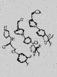 O=C(COc1ccc(F)c(F)c1)NC1CCNC1.O=Cc1ccn(-c2ccc(S(=O)(=O)C(F)(F)F)cc2)c1.O=Cc1ccn(-c2ccc3c(c2)OC(F)(F)O3)c1